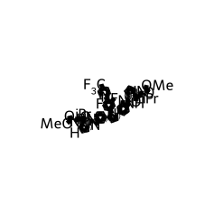 COC(=O)N[C@H](C(=O)N1CCC[C@H]1c1nc2cc([C@H]3CC[C@H](c4ccc5[nH]c([C@@H]6CCCN6C(=O)[C@@H](NC(=O)OC)C(C)C)nc5c4)N3c3cc(F)c(N4CCC(C(F)(F)F)CC4)c(F)c3)ccc2[nH]1)C(C)C